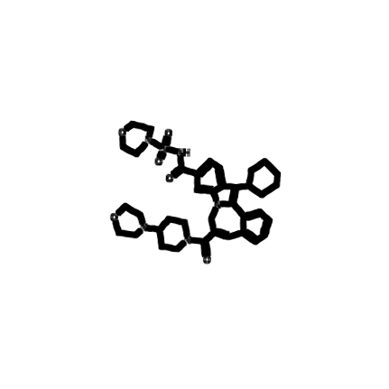 O=C(NS(=O)(=O)N1CCOCC1)c1ccc2c(C3CCCCC3)c3n(c2c1)CC(C(=O)N1CCC(N2CCOCC2)CC1)=Cc1ccccc1-3